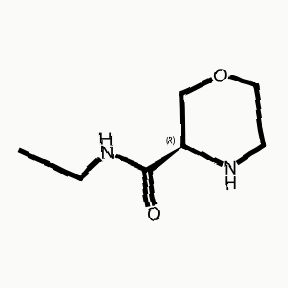 CCNC(=O)[C@H]1COCCN1